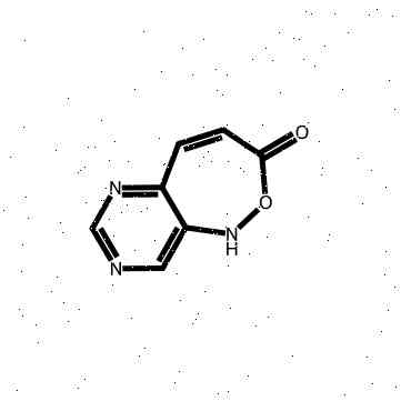 O=C1C=Cc2ncncc2NO1